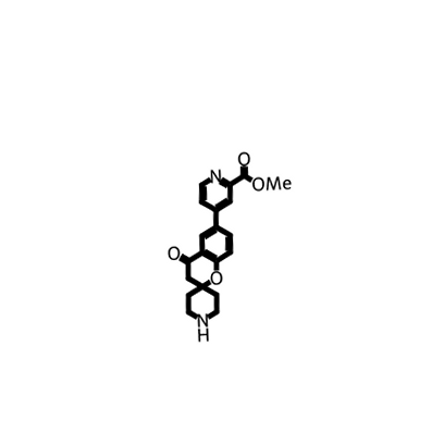 COC(=O)c1cc(-c2ccc3c(c2)C(=O)CC2(CCNCC2)O3)ccn1